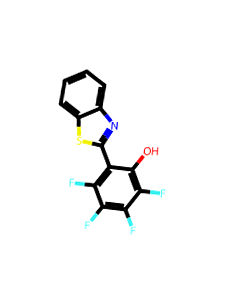 Oc1c(F)c(F)c(F)c(F)c1-c1nc2ccccc2s1